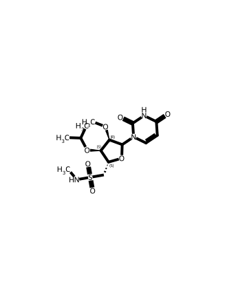 CNS(=O)(=O)C[C@H]1OC(n2ccc(=O)[nH]c2=O)[C@H](OC)[C@@H]1OC(C)C